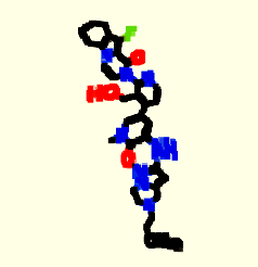 COCCN1CCn2nc(Nc3cc(-c4ccnc(-n5ccn6c7c(c(F)c6c5=O)CCCC7)c4CO)cn(C)c3=O)cc2C1